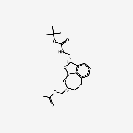 CC(=O)OC[C@@H]1COc2cccc3c2B(O1)O[C@@H]3CNC(=O)OC(C)(C)C